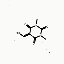 CN1C(=O)C(=CO)C(=O)N(C)C1=O